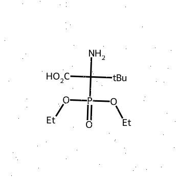 CCOP(=O)(OCC)C(N)(C(=O)O)C(C)(C)C